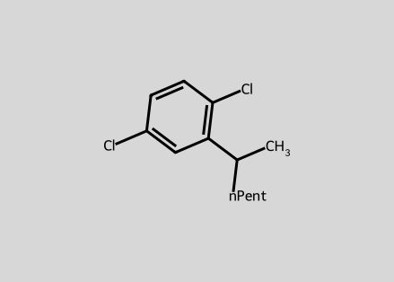 CCCCCC(C)c1cc(Cl)ccc1Cl